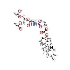 C=C1C=C2CCC3[C@H](CCC4(C)C(OC(=O)OC(C)OC(=O)NCC(=O)OC(COC(C)=O)COC(C)=O)CC[C@@H]34)C2(C)CC1